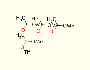 COC(C)[O-].COC(C)[O-].COC(C)[O-].COC(C)[O-].[Ti+4]